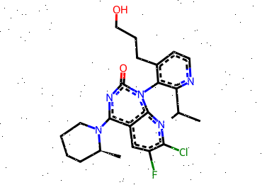 CC(C)c1nccc(CCCO)c1-n1c(=O)nc(N2CCCC[C@@H]2C)c2cc(F)c(Cl)nc21